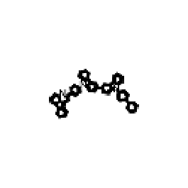 c1ccc(-c2ccc(-n3c4ccccc4c4cc(-c5ccc6c(c5)c5ccccc5n6-c5ccc(-c6cc7c8c(cccc8n6)-c6ccccc6-7)cc5)ccc43)cc2)cc1